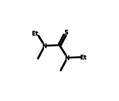 CCN(C)C(=S)N(C)CC